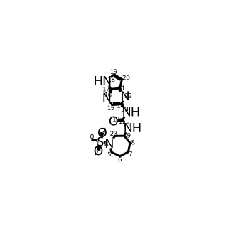 CS(=O)(=O)N1CCCCC(NC(=O)Nc2cnc3[nH]ccc3n2)C1